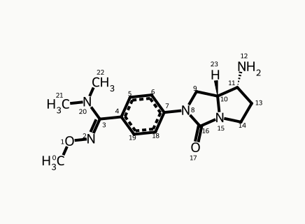 CON=C(c1ccc(N2C[C@@H]3[C@H](N)CCN3C2=O)cc1)N(C)C